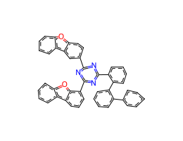 c1ccc(-c2ccccc2-c2ccccc2-c2nc(-c3ccc4oc5ccccc5c4c3)nc(-c3cccc4c3oc3ccccc34)n2)cc1